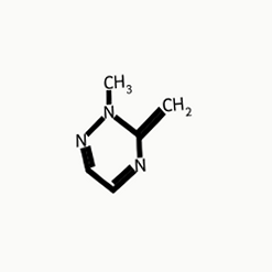 C=C1N=CC=NN1C